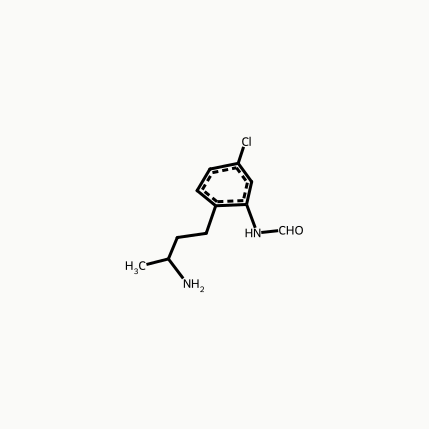 CC(N)CCc1ccc(Cl)cc1NC=O